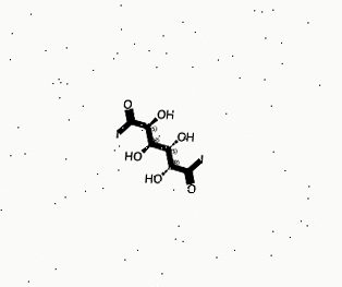 O=C(I)[C@@H](O)[C@H](O)[C@H](O)[C@@H](O)C(=O)I